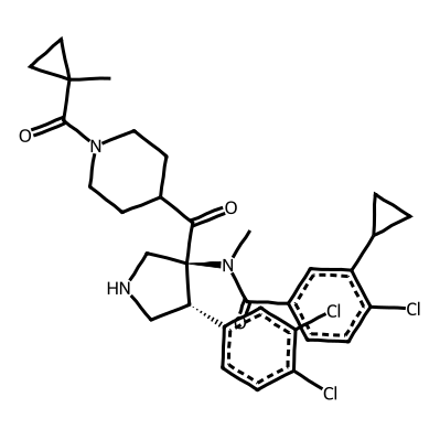 CN(C(=O)c1ccc(Cl)c(C2CC2)c1)[C@]1(C(=O)C2CCN(C(=O)C3(C)CC3)CC2)CNC[C@H]1c1ccc(Cl)c(Cl)c1